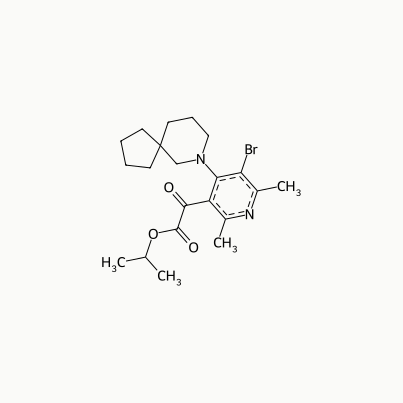 Cc1nc(C)c(C(=O)C(=O)OC(C)C)c(N2CCCC3(CCCC3)C2)c1Br